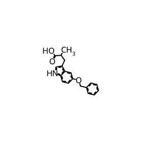 CC(Cc1c[nH]c2ccc(OCc3ccccc3)cc12)C(=O)O